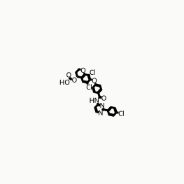 O=C(O)OC1CCOc2c1cc(Cl)c(Oc1ccc(C(=O)Nc3ccnc(-c4ccc(Cl)cc4)n3)cc1)c2Cl